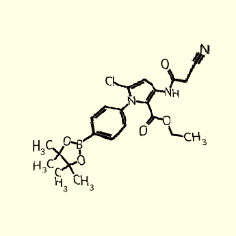 CCOC(=O)c1c(NC(=O)CC#N)cc(Cl)n1-c1ccc(B2OC(C)(C)C(C)(C)O2)cc1